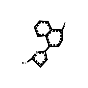 CC(C)(C)c1ccc(-c2ccc(F)c3ccccc23)s1